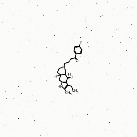 CCc1c(C)[nH]c2c1C(=O)[C@@H]1CN(CCCC(=O)c3ccc(F)cc3)CC[C@H]1C2